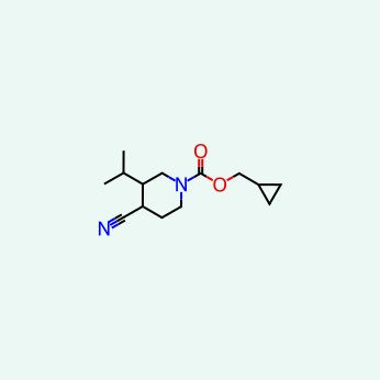 CC(C)C1CN(C(=O)OCC2CC2)CCC1C#N